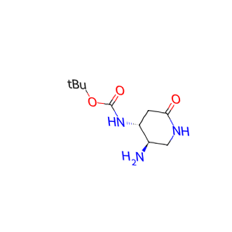 CC(C)(C)OC(=O)N[C@@H]1CC(=O)NC[C@H]1N